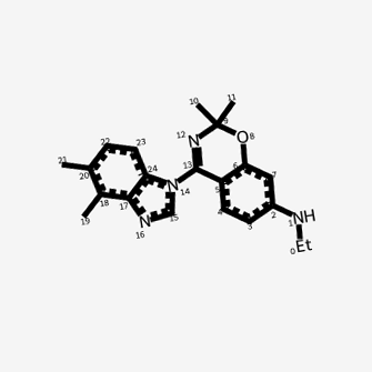 CCNc1ccc2c(c1)OC(C)(C)N=C2n1cnc2c(C)c(C)ccc21